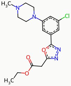 CCOC(=O)Cc1nnc(-c2cc(Cl)cc(N3CCN(C)CC3)c2)o1